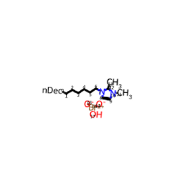 CCCCCCCCCCCCCCCCN1C=CN(C)C1C.[O-][Br+2]([O-])O